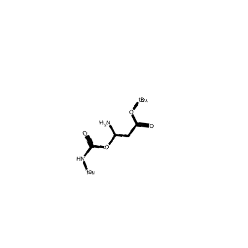 CC(C)(C)NC(=O)OC(N)CC(=O)OC(C)(C)C